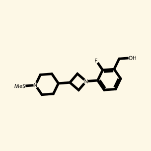 CSN1CCC(C2CN(c3cccc(CO)c3F)C2)CC1